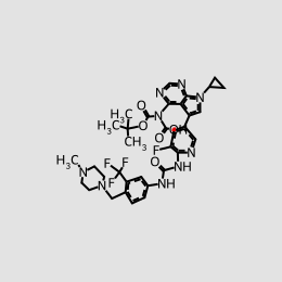 CN1CCN(Cc2ccc(NC(=O)Nc3ncc(-c4cn(C5CC5)c5ncnc(N(C(=O)O)C(=O)OC(C)(C)C)c45)cc3F)cc2C(F)(F)F)CC1